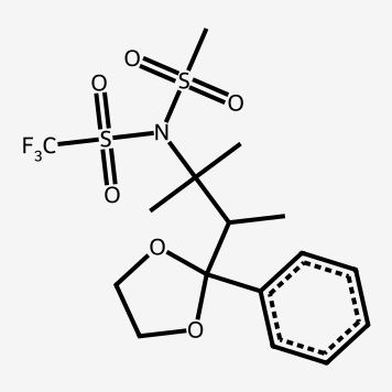 CC(C1(c2ccccc2)OCCO1)C(C)(C)N(S(C)(=O)=O)S(=O)(=O)C(F)(F)F